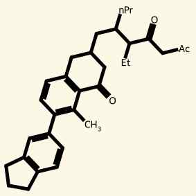 CCCC(CC1CC(=O)c2c(ccc(-c3ccc4c(c3)CCC4)c2C)C1)C(CC)C(=O)CC(C)=O